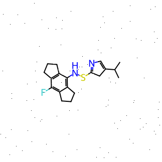 CC(C)C1=CN=C(SNc2c3c(c(F)c4c2CCC4)CCC3)C1